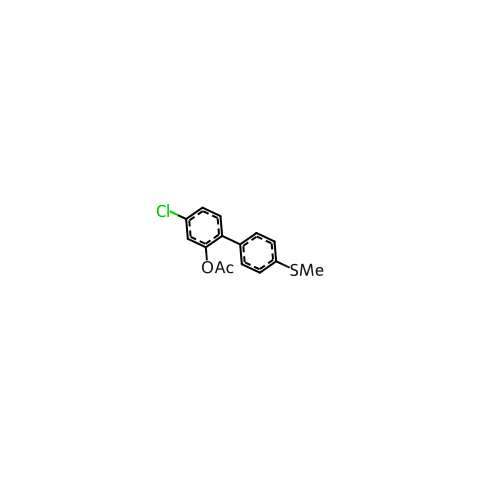 CSc1ccc(-c2ccc(Cl)cc2OC(C)=O)cc1